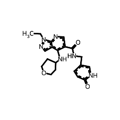 CCn1ncc2c(NC3CCOCC3)c(C(=O)NCc3ccc(=O)[nH]c3)cnc21